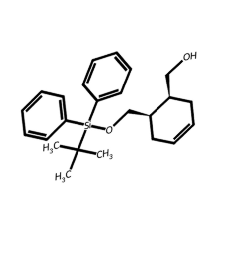 CC(C)(C)[Si](OC[C@@H]1CC=CC[C@@H]1CO)(c1ccccc1)c1ccccc1